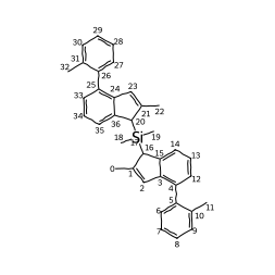 CC1=Cc2c(-c3ccccc3C)cccc2C1[Si](C)(C)C1C(C)=Cc2c(-c3ccccc3C)cccc21